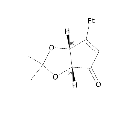 CCC1=CC(=O)[C@@H]2OC(C)(C)O[C@H]12